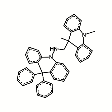 CN1c2ccccc2C(C)(CNN2c3ccccc3C(c3ccccc3)(c3ccccc3)c3ccccc32)c2ccccc21